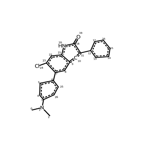 CN(C)c1ccc(-c2cc3cc(-c4[c]cccc4)c(=O)[nH]c3cc2Cl)cc1